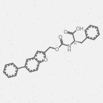 O=C(N[C@H](Cc1ccccc1)C(=O)O)OCc1cc2cc(-c3ccccc3)ccc2o1